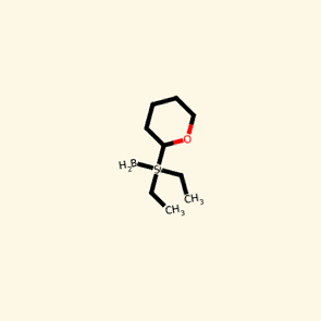 B[Si](CC)(CC)C1CCCCO1